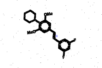 COc1cc(/C=C/c2cc(F)cc(F)c2)cc(OC)c1C1CCCCC1